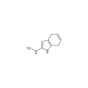 CNc1cc2c([nH]1)CC=CC2